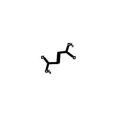 CC(Cl)C=CC(C)Cl